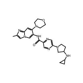 Cc1cn2cc(NC(=O)c3cnc(N4CCC(NC5CC5)C4)cn3)c(N3CCOCC3)cc2n1